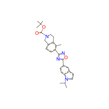 Cc1c(-c2noc(-c3ccc4c(ccn4C(C)C)c3)n2)ccc2c1CCN(C(=O)OC(C)(C)C)C2